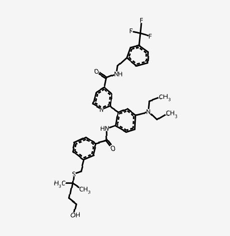 CCN(CC)c1ccc(NC(=O)c2cccc(CSC(C)(C)CCO)c2)c(-c2cc(C(=O)NCc3cccc(C(F)(F)F)c3)ccn2)c1